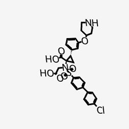 O=C(O)CN([C@]1(C(=O)O)C[C@H]1c1cccc(OC2CCNCC2)c1)S(=O)(=O)c1ccc(-c2ccc(Cl)cc2)cc1